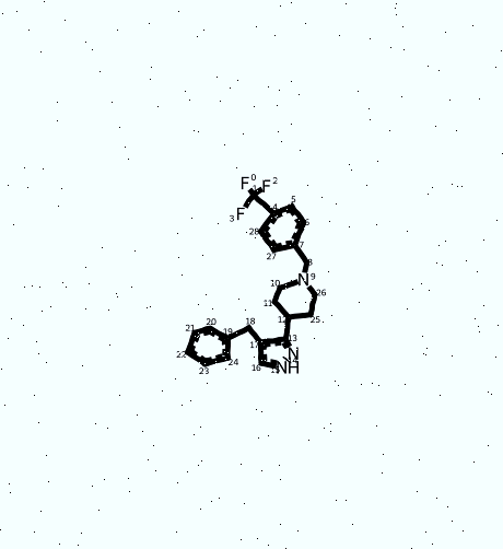 FC(F)(F)c1ccc(CN2CCC(c3n[nH]cc3Cc3ccccc3)CC2)cc1